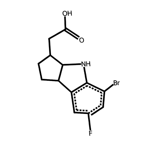 O=C(O)CC1CCC2c3cc(F)cc(Br)c3NC12